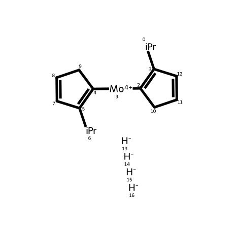 CC(C)C1=[C]([Mo+4][C]2=C(C(C)C)C=CC2)CC=C1.[H-].[H-].[H-].[H-]